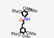 COc1cc(NC(=O)/C=C/c2cc(OC)c(OC(C)=O)c(OC)c2)cc(OC)c1OC